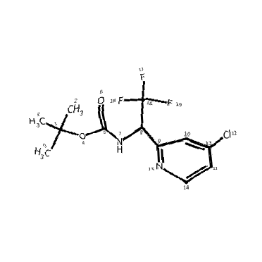 CC(C)(C)OC(=O)NC(c1cc(Cl)ccn1)C(F)(F)F